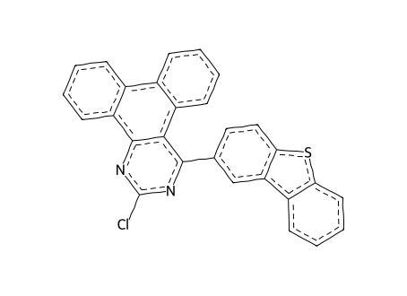 Clc1nc(-c2ccc3sc4ccccc4c3c2)c2c3ccccc3c3ccccc3c2n1